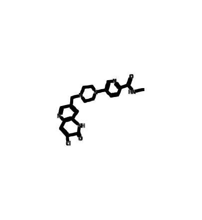 CNC(=O)c1ccc(N2CCN(Cc3cnc4cc(Cl)c(=O)[nH]c4c3)CC2)cn1